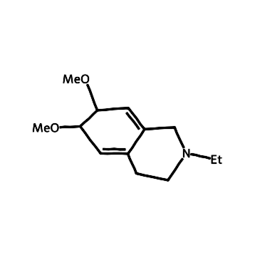 CCN1CCC2=CC(OC)C(OC)C=C2C1